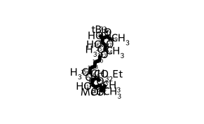 CCOC(=O)C1OC(C(C)(C)OC)C(O)C(O)[C@@H]1OC(C)(C)CCCCCOC(C)(C)C1OC(C)[C@@H](OC(C)(C)C)C(O)C1O